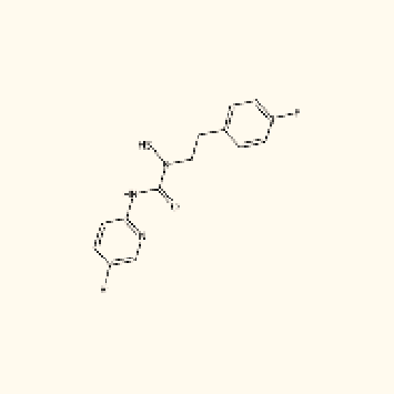 O=C(Nc1ccc(Br)cn1)N(S)CCc1ccc(F)cc1